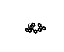 O=S1(c2ccccc2)=NC(c2cccc(-c3ccc4c5ccccc5c5ccccc5c4c3)c2)=c2ccc3ccccc3c2=N1